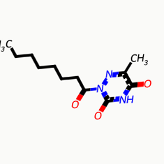 CCCCCCCC(=O)n1nc(C)c(=O)[nH]c1=O